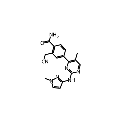 Cc1cnc(Nc2ccn(C)n2)nc1-c1ccc(C(N)=O)c(CC#N)c1